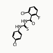 O=C(NC(=S)Nc1ccc(Cl)cc1)c1c(F)cccc1Cl